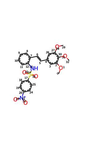 COc1cc(C=Cc2ccccc2NS(=O)(=O)c2ccc([N+](=O)[O-])cc2)cc(OC)c1OC